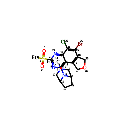 CCS(=O)(=O)c1nc(N2C3CCC2CN(C(=O)O)C3)c2c3c(c(Br)c(Cl)c2n1)COC3